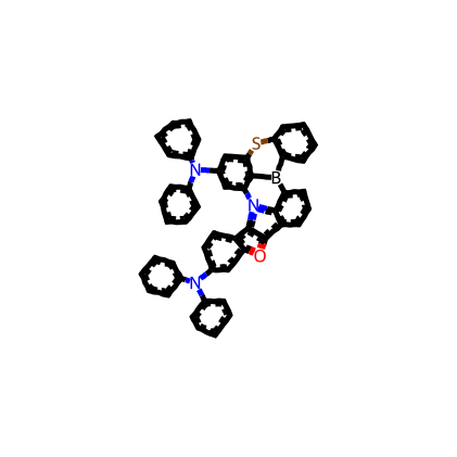 c1ccc(N(c2ccccc2)c2cc3c4c(c2)-n2c5c(cccc5c5oc6cc(N(c7ccccc7)c7ccccc7)ccc6c52)B4c2ccccc2S3)cc1